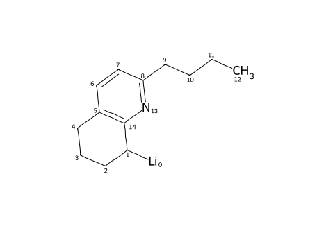 [Li][CH]1CCCc2ccc(CCCC)nc21